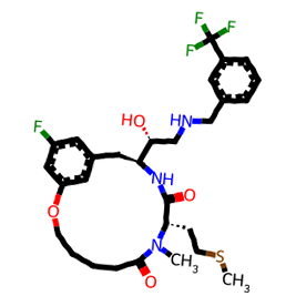 CSCC[C@H]1C(=O)N[C@H]([C@H](O)CNCc2cccc(C(F)(F)F)c2)Cc2cc(F)cc(c2)OCCCCC(=O)N1C